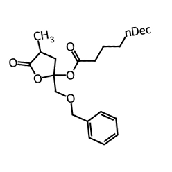 CCCCCCCCCCCCCC(=O)OC1(COCc2ccccc2)CC(C)C(=O)O1